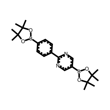 CC1(C)OB(c2ccc(-c3ncc(B4OC(C)(C)C(C)(C)O4)cn3)cc2)OC1(C)C